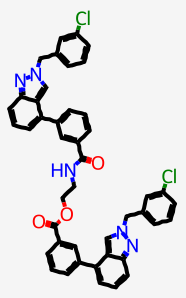 O=C(NCCOC(=O)c1cccc(-c2cccc3nn(Cc4cccc(Cl)c4)cc23)c1)c1cccc(-c2cccc3nn(Cc4cccc(Cl)c4)cc23)c1